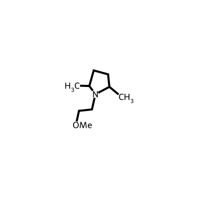 COCCN1C(C)CCC1C